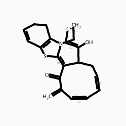 C=C1/C=C\C=C/CC(/C(O)=C/C)/C(=C2/SC3=C(CCC=C3)N2CC)C1=O